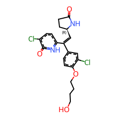 O=C1CC[C@H](C=C(c2ccc(OCCCCO)c(Cl)c2)c2ccc(Cl)c(=O)[nH]2)N1